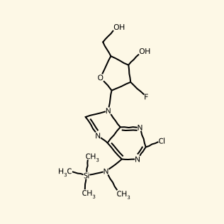 CN(c1nc(Cl)nc2c1ncn2C1OC(CO)C(O)C1F)[Si](C)(C)C